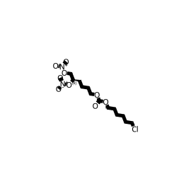 O=C(O[CH]CCCCCCl)OCCCC[C@H](CO[N+](=O)[O-])O[N+](=O)[O-]